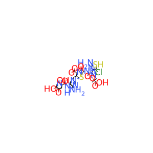 C/C(Cl)=C(\N=C(\N)S)C(=N/OC(C)(C)C(=O)O)/C(=O)N[C@@H]1C(=O)N2C(C(=O)O)=C(C[n+]3cnc(N)c(NC(=O)c4cc(=O)c(O)cn4O)c3)CSC12